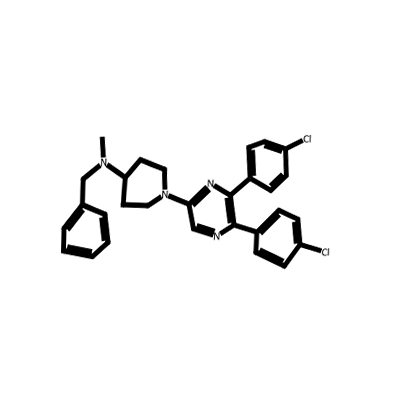 CN(Cc1ccccc1)C1CCN(c2cnc(-c3ccc(Cl)cc3)c(-c3ccc(Cl)cc3)n2)CC1